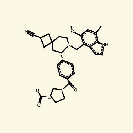 COc1cc(C)c2[nH]ccc2c1CN1CCC2(CC(C#N)C2)C[C@H]1c1ccc(C(=O)N2CC[C@@H](C(=O)O)C2)cc1